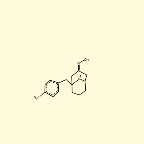 Cc1ccc(CC23CCCC(CC(=NO)C2)N3)cc1